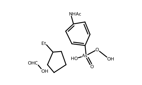 CC(=O)Nc1ccc([As](=O)(O)OO)cc1.CCC1CCCC1.O=CO